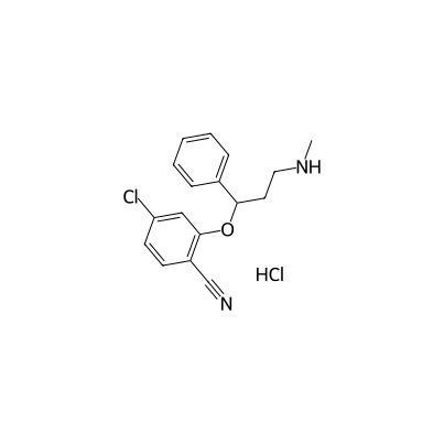 CNCCC(Oc1cc(Cl)ccc1C#N)c1ccccc1.Cl